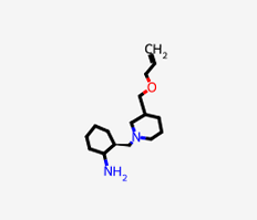 C=CCOCC1CCCN(C[C@@H]2CCCCC2N)C1